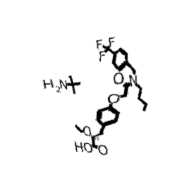 CC(C)(C)N.CCCCN(Cc1ccc(C(F)(F)F)cc1)C(=O)COc1ccc(C[C@H](OCC)C(=O)O)cc1